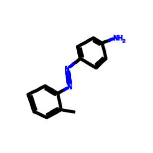 Cc1ccccc1N=Nc1ccc(N)cc1